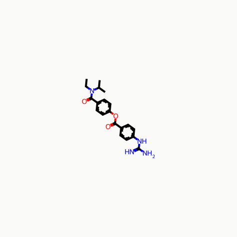 CCN(C(=O)c1ccc(OC(=O)c2ccc(NC(=N)N)cc2)cc1)C(C)C